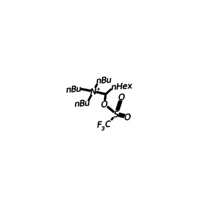 CCCCCCC(OS(=O)(=O)C(F)(F)F)[N+](CCCC)(CCCC)CCCC